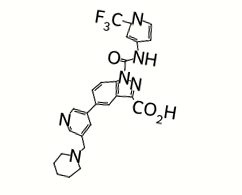 O=C(O)c1nn(C(=O)Nc2ccnc(C(F)(F)F)c2)c2ccc(-c3cncc(CN4CCCCC4)c3)cc12